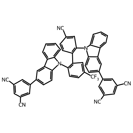 N#Cc1cc(C#N)cc(-c2ccc3c(c2)c2ccccc2n3-c2ccc(C(F)(F)F)cc2-c2ccc(C#N)cc2-n2c3ccccc3c3cc(-c4cc(C#N)cc(C#N)c4)ccc32)c1